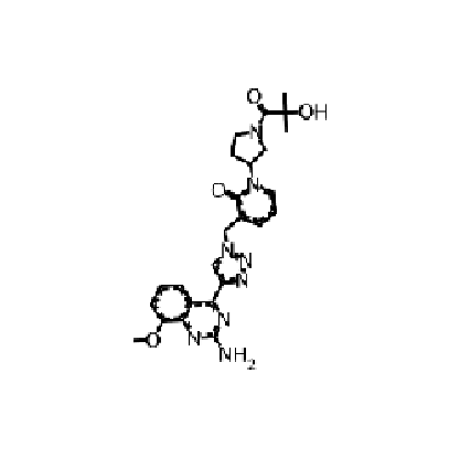 COc1cccc2c(-c3cn(Cc4cccn(C5CCN(C(=O)C(C)(C)O)C5)c4=O)nn3)nc(N)nc12